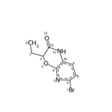 CCC1Oc2nc(Br)ccc2NC1=O